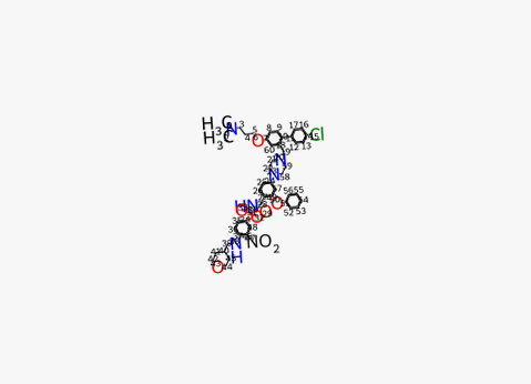 CN(C)CCCOc1ccc(-c2ccc(Cl)cc2)c(CN2CCN(c3ccc(C(=O)NS(=O)(=O)c4ccc(NCC5CCOCC5)c([N+](=O)[O-])c4)c(Oc4ccccc4)c3)CC2)c1